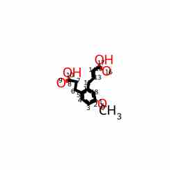 COc1ccc(CCC(=O)O)c(CC=CC(=O)O)c1